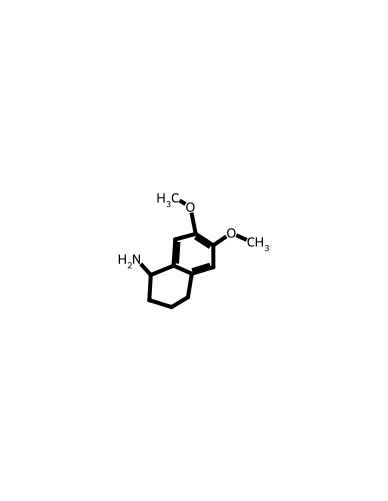 COc1cc2c(cc1OC)C(N)CCC2